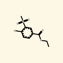 CCOC(=O)c1ccc(Cl)c(S(C)(=O)=O)c1